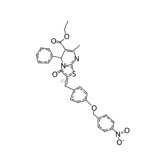 CCOC(=O)C1=C(C)N=c2s/c(=C\c3ccc(OCc4ccc([N+](=O)[O-])cc4)cc3)c(=O)n2C1c1ccccc1